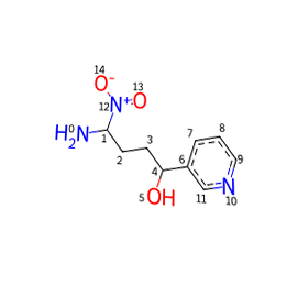 NC(CCC(O)c1cccnc1)[N+](=O)[O-]